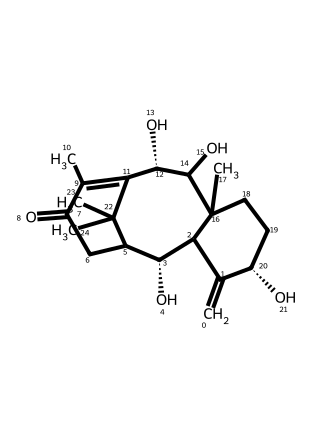 C=C1C2[C@H](O)C3CC(=O)C(C)=C([C@H](O)C(O)C2(C)CC[C@@H]1O)C3(C)C